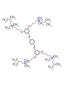 CC(C)CC[N+](C)(C)CCCCOc1cc(/C=C/c2ccc(/C=C/c3cc(OCCCC[N+](C)(C)CCC(C)C)cc(OCCCC[N+](C)(C)CCC(C)C)c3)cc2)cc(OCCCC[N+](C)(C)CCC(C)C)c1